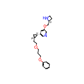 c1ccc(OCCCOCC[C@H]2C[C@@H]2c2cncc(OC[C@@H]3CCN3)c2)cc1